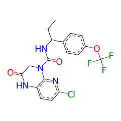 CCC(NC(=O)N1CC(=O)Nc2ccc(Cl)nc21)c1ccc(OC(F)(F)F)cc1